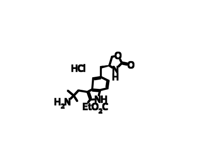 CCOC(=O)c1[nH]c2ccc(C[C@H]3COC(=O)N3)cc2c1CC(C)(C)N.Cl